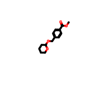 COC(=O)c1ccc(COC2CCCCO2)cc1